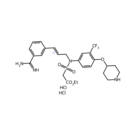 CCOC(=O)CS(=O)(=O)N(C/C=C/c1cccc(C(=N)N)c1)c1ccc(OC2CCNCC2)c(C(F)(F)F)c1.Cl.Cl